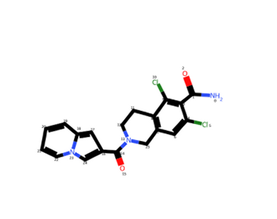 NC(=O)c1c(Cl)cc2c(c1Cl)CCN(C(=O)c1cc3ccccn3c1)C2